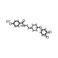 CCOc1ccc(C(=O)NCCN2CCC(Oc3ccc(Cl)c(Cl)c3)CC2)cc1